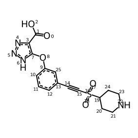 O=C(O)c1nn[nH]c1Oc1cccc(C#CS(=O)(=O)C2CCNCC2)c1